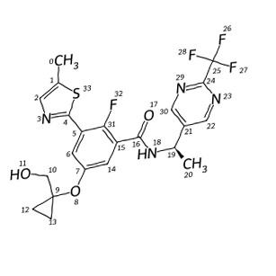 Cc1cnc(-c2cc(OC3(CO)CC3)cc(C(=O)N[C@H](C)c3cnc(C(F)(F)F)nc3)c2F)s1